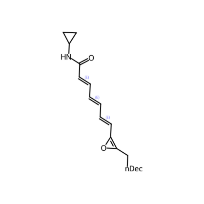 CCCCCCCCCCCC1=C(/C=C/C=C/C=C/C(=O)NC2CC2)O1